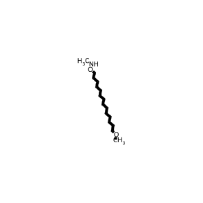 CNOCCCCCCCCCCCCCCOC